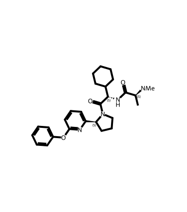 CN[C@@H](C)C(=O)N[C@H](C(=O)N1CCC[C@H]1c1cccc(Oc2ccccc2)n1)C1CCCCC1